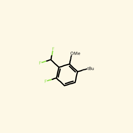 COc1c(C(C)(C)C)ccc(F)c1C(F)F